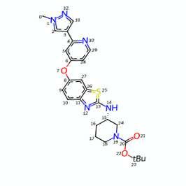 Cn1cc(-c2cc(Oc3ccc4nc(N[C@H]5CCCN(C(=O)OC(C)(C)C)C5)sc4c3)ccn2)cn1